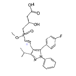 COP(=O)(/C=C/c1c(C(C)C)nn(-c2ccccc2)c1-c1ccc(F)cc1)CC(O)CC(=O)O